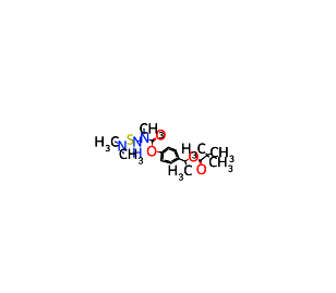 CC(OC(=O)C(C)(C)C)c1ccc(OC(=O)N(C)NSN(C)C)cc1